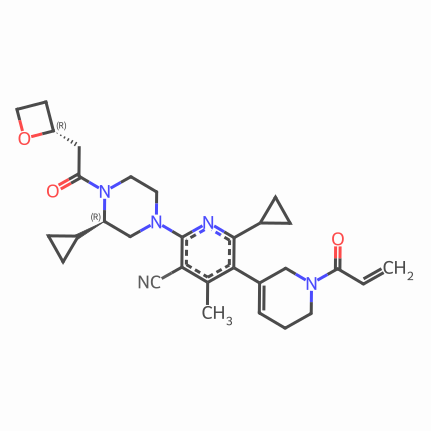 C=CC(=O)N1CCC=C(c2c(C3CC3)nc(N3CCN(C(=O)C[C@H]4CCO4)[C@H](C4CC4)C3)c(C#N)c2C)C1